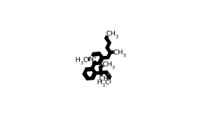 C/C=C\C(C)(CC)c1ccccc1-c1cc(CC(C)CCCC)cc[n+]1C